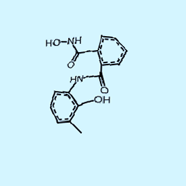 Cc1cccc(NC(=O)c2ccccc2C(=O)NO)c1O